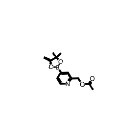 C=C1OB(c2ccnc(COC(C)=O)c2)OC1(C)C